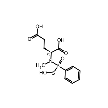 CN([C@@H](CCC(=O)O)C(=O)O)P(=O)(SO)c1ccccc1